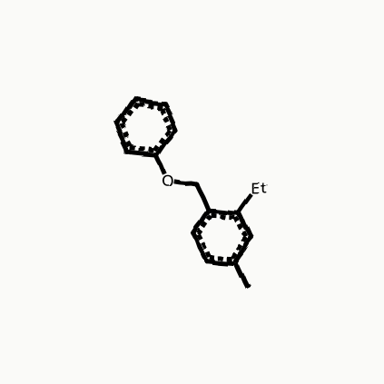 CCc1cc(C)ccc1COc1ccccc1